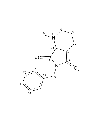 CN1CCCC2C(=O)N(Cc3ccccc3)C(=O)C21